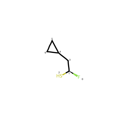 F[C@@H](S)CC1CC1